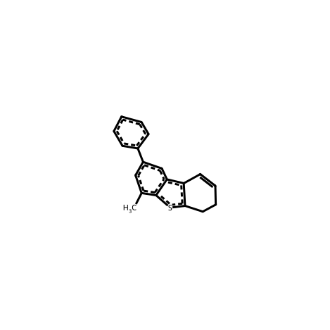 Cc1cc(-c2ccccc2)cc2c3c(sc12)CCC=C3